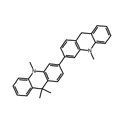 CN1c2ccccc2Cc2ccc(-c3ccc4c(c3)N(C)c3ccccc3C4(C)C)cc21